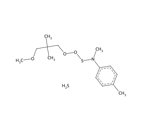 COCC(C)(C)COOSN(C)c1ccc(C)cc1.S